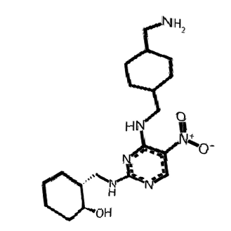 NCC1CCC(CNc2nc(NC[C@H]3CCCC[C@@H]3O)ncc2[N+](=O)[O-])CC1